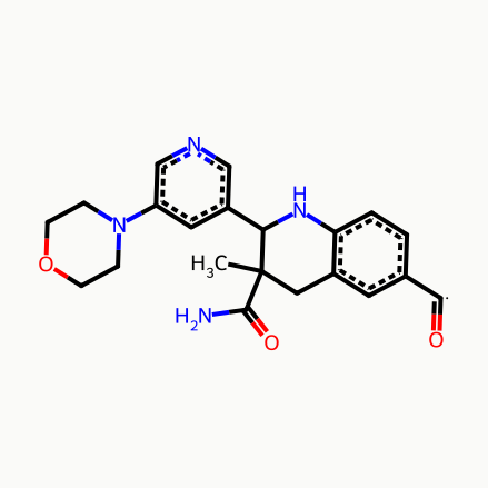 CC1(C(N)=O)Cc2cc([C]=O)ccc2NC1c1cncc(N2CCOCC2)c1